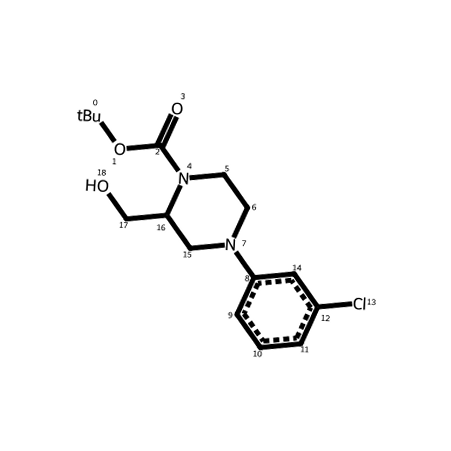 CC(C)(C)OC(=O)N1CCN(c2cccc(Cl)c2)CC1CO